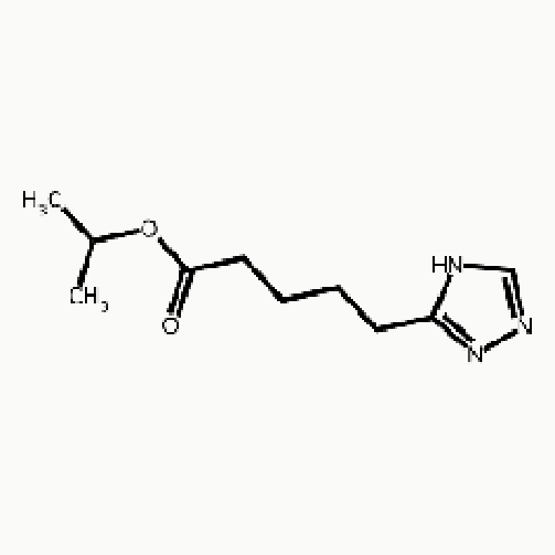 CC(C)OC(=O)CCCCc1nnc[nH]1